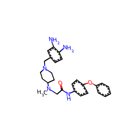 CN(CC(=O)Nc1ccc(Oc2ccccc2)cc1)C1CCN(Cc2ccc(N)c(N)c2)CC1